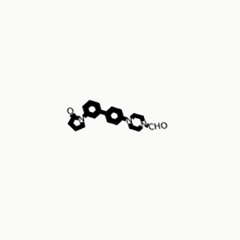 O=CN1CCN(c2ccc(-c3cccc(N4CCCC4=O)c3)cc2)CC1